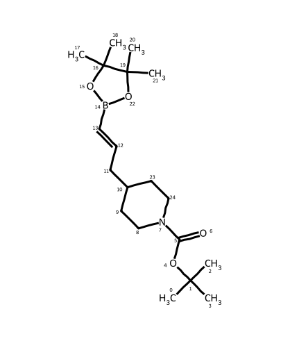 CC(C)(C)OC(=O)N1CCC(C/C=C/B2OC(C)(C)C(C)(C)O2)CC1